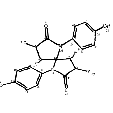 O=C1C(F)C(F)C2(C(F)C(F)C(=O)N2c2ccc(O)cc2)N1c1ccc(O)cc1